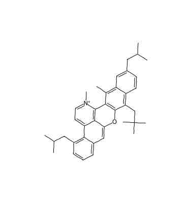 Cc1c2c(c(CC(C)(C)C)c3ccc(CC(C)C)cc13)Oc1cc3cccc(CC(C)C)c3c3cc[n+](C)c-2c13